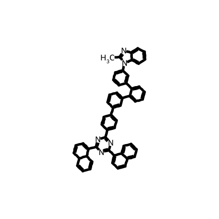 Cc1nc2ccccc2n1-c1cccc(-c2ccccc2-c2cccc(-c3ccc(-c4nc(C5=CC=CC6C=CC=CC56)nc(-c5cccc6ccccc56)n4)cc3)c2)c1